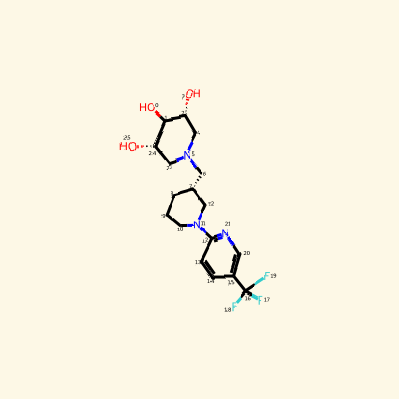 OC1[C@H](O)CN(C[C@H]2CCCN(c3ccc(C(F)(F)F)cn3)C2)C[C@@H]1O